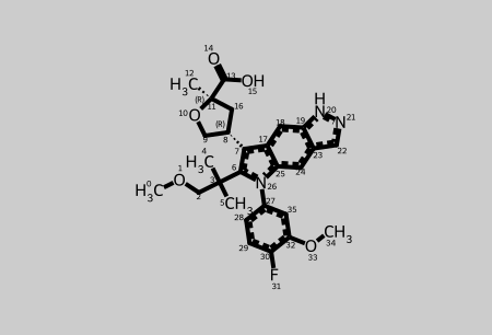 COCC(C)(C)c1c([C@@H]2CO[C@@](C)(C(=O)O)C2)c2cc3[nH]ncc3cc2n1-c1ccc(F)c(OC)c1